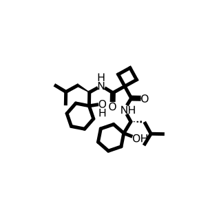 CC(C)C[C@@H](NC(=O)C1(C(=O)N[C@H](CC(C)C)C2(O)CCCCC2)CCC1)C1(O)CCCCC1